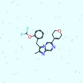 Cc1nc2cnc(C3=CCOCC3)cn2c1Cc1ccccc1OC(F)F